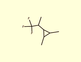 CC1C(C)C1C(C)C(F)(F)F